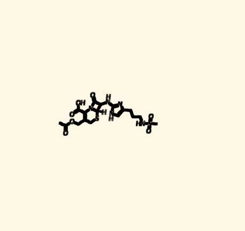 CC(=O)OCC1=C(C(=O)O)N2C(=O)C(Nc3nc(CCCNS(C)(=O)=O)c[nH]3)[C@@H]2SC1